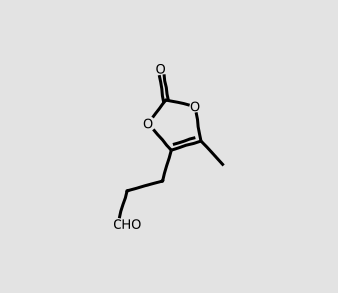 Cc1oc(=O)oc1CCC=O